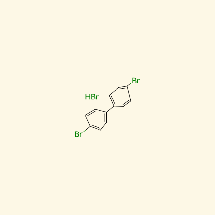 Br.Brc1ccc(-c2ccc(Br)cc2)cc1